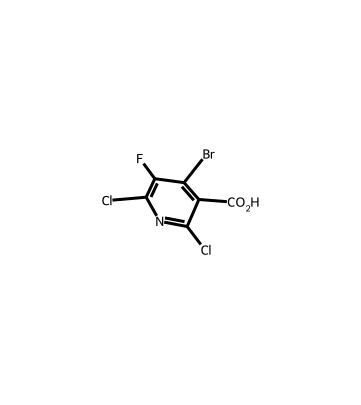 O=C(O)c1c(Cl)nc(Cl)c(F)c1Br